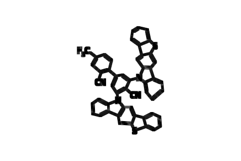 N#Cc1cc(C(F)(F)F)ccc1-c1cc(-n2c3ccccc3c3cc4sc5ccccc5c4cc32)c(C#N)c(-n2c3ccccc3c3cc4sc5ccccc5c4cc32)c1